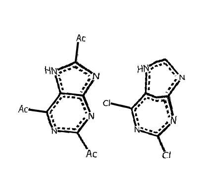 CC(=O)c1nc(C(C)=O)c2[nH]c(C(C)=O)nc2n1.Clc1nc(Cl)c2[nH]cnc2n1